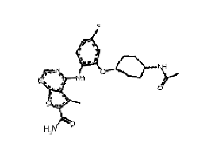 CC(=O)NC1CCC(Oc2cc(F)ccc2Nc2ncnc3sc(C(N)=O)c(C)c23)CC1